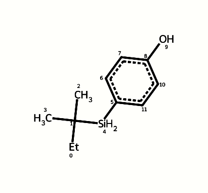 CCC(C)(C)[SiH2]c1ccc(O)cc1